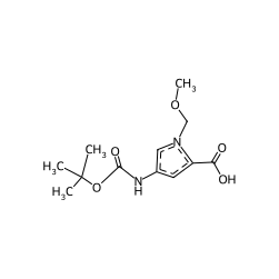 COCn1cc(NC(=O)OC(C)(C)C)cc1C(=O)O